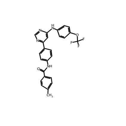 Cc1ccc(C(=O)Nc2ccc(-c3cc(Nc4ccc(OC(F)(F)F)cc4)ncn3)cc2)cc1